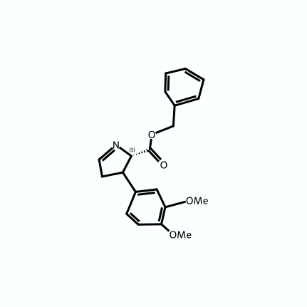 COc1ccc(C2CC=N[C@@H]2C(=O)OCc2ccccc2)cc1OC